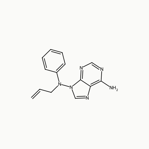 C=CCN(c1ccccc1)n1cnc2c(N)ncnc21